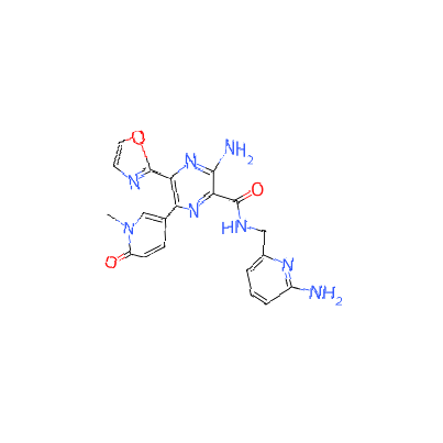 Cn1cc(-c2nc(C(=O)NCc3cccc(N)n3)c(N)nc2-c2ncco2)ccc1=O